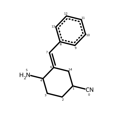 N#CC1CCC(N)C(=Cc2ccccc2)C1